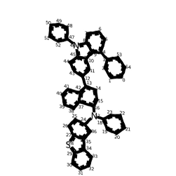 c1ccc(-c2cccc3c2c2cc(-c4ccc(N(c5ccccc5)c5ccc6sc7ccccc7c6c5)c5ccccc45)ccc2n3-c2ccccc2)cc1